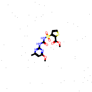 COC(=O)c1sccc1S(=O)(=O)NC(=O)Nc1nc(C)cc(OC)n1